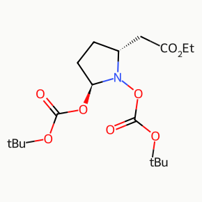 CCOC(=O)C[C@H]1CC[C@H](OC(=O)OC(C)(C)C)N1OC(=O)OC(C)(C)C